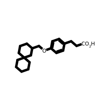 O=C(O)CCc1ccc(OCC2CCCC3(CCCCC3)C2)cc1